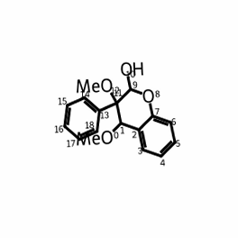 COC1c2ccccc2OC(O)C1(OC)c1ccccc1